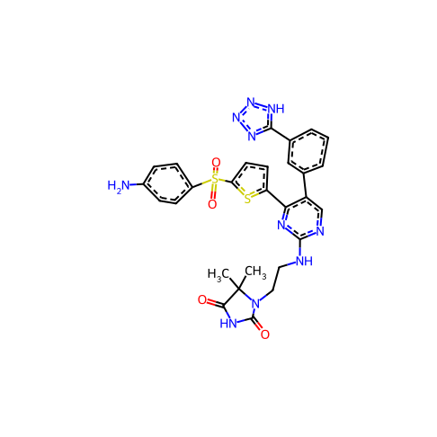 CC1(C)C(=O)NC(=O)N1CCNc1ncc(-c2cccc(-c3nnn[nH]3)c2)c(-c2ccc(S(=O)(=O)c3ccc(N)cc3)s2)n1